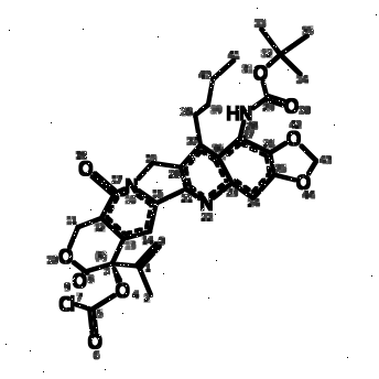 C=C(C)[C@]1(OC(=O)Cl)C(=O)OCc2c1cc1n(c2=O)Cc2c-1nc1cc3c(c(NC(=O)OC(C)(C)C)c1c2CCCC)OCO3